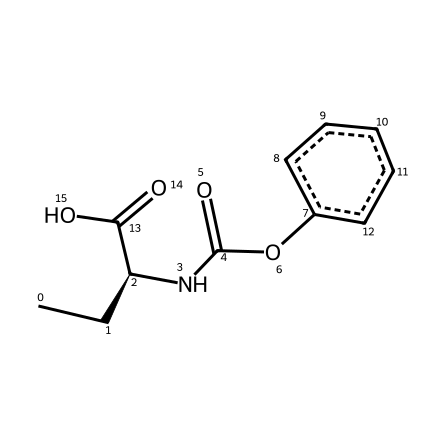 CC[C@H](NC(=O)Oc1ccccc1)C(=O)O